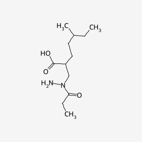 CCC(=O)N(N)CC(CCC(C)CC)C(=O)O